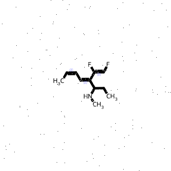 C\C=C/C=C(\C(F)=C\F)C(CC)NC